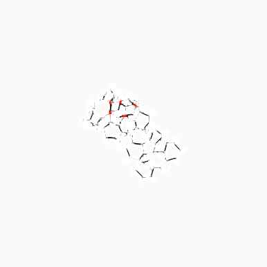 c1ccc2c(c1)Oc1ccccc1C21c2ccccc2-c2c(N(c3cccc4c3-c3ccccc3C43c4ccccc4Oc4ccccc43)c3cccc4sc5ccccc5c34)cccc21